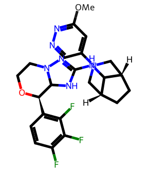 COc1cc(N2C[C@H]3CC[C@@H](C2)C3NC2=NN3CCO[C@H](c4ccc(F)c(F)c4F)C3N2)cnn1